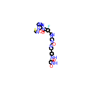 O=C1CC[C@H](CNc2ccc(C3CCN(CC(=O)N4CCC(n5cc(-c6cc(F)c7c(c6)C(=O)N(C(C(=O)Nc6nccs6)c6ncn8c6CCC8)C7)cn5)CC4)CC3)cc2)C(=O)N1